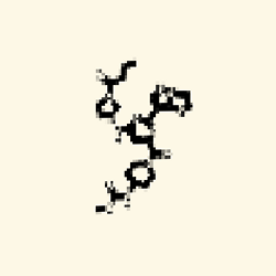 CCCC(=O)N1CC[C@@H](Nc2cc(C(=O)N3CCC(NC(=O)OC)CC3)nc(-c3cnn4ccsc34)n2)C1